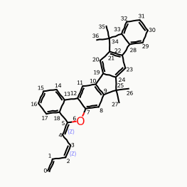 C=C/C=C\C=C1/Oc2cc3c(cc2-c2ccccc21)-c1cc2c(cc1C3(C)C)-c1ccccc1C2(C)C